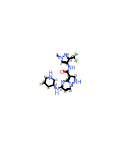 Cn1cc(NC(=O)C2=C3N=C(N[C@@H]4CNC[C@H](F)C4)C=CN3NC2)c(C(F)F)n1